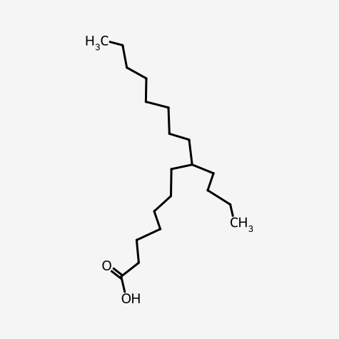 CCCCCCCCC(CCCC)CCCCCCC(=O)O